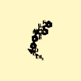 CCOC(=O)C1(c2ccc(-c3ccc(-c4onc(C)c4Nc4cccc(Cc5ccccc5F)n4)cc3)cc2)CC1